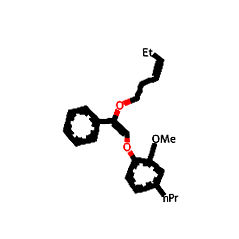 CC/C=C\CCO/C(=C/Oc1ccc(CCC)cc1OC)c1ccccc1